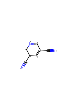 N#CC1=CC(C#N)CN=C1